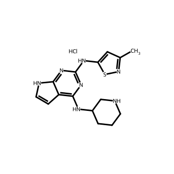 Cc1cc(Nc2nc(NC3CCCNC3)c3cc[nH]c3n2)sn1.Cl